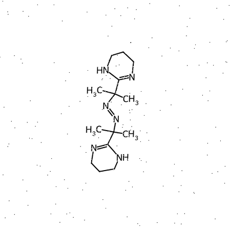 CC(C)(N=NC(C)(C)C1=NCCCN1)C1=NCCCN1